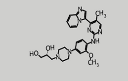 COc1cc(N2CCN(C[C@@H](O)CO)CC2)ccc1Nc1ncc(C)c(-c2cnc3ccccn23)n1